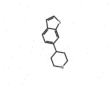 c1cc2ccc(C3CC[N]CC3)cc2s1